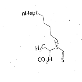 CCCCCCCCCCCC[SH](C=S)C(C)C(=O)O